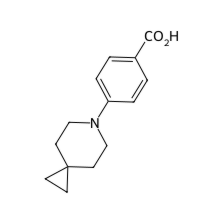 O=C(O)c1ccc(N2CCC3(CC2)CC3)cc1